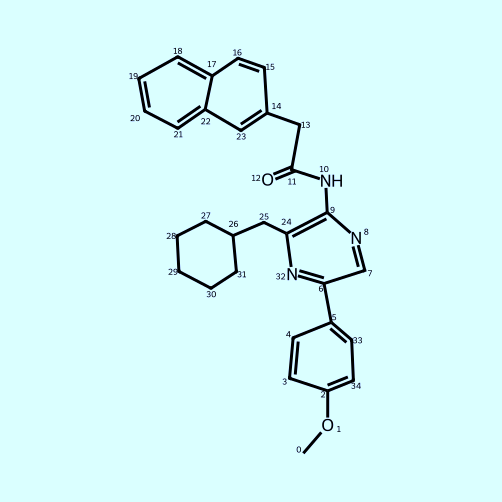 COc1ccc(-c2cnc(NC(=O)Cc3ccc4ccccc4c3)c(CC3CCCCC3)n2)cc1